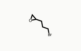 BrCCCC1CO1